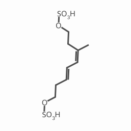 CC(=CC=CCCOS(=O)(=O)O)CCOS(=O)(=O)O